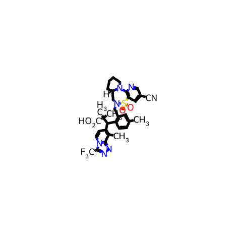 Cc1ccc(C(c2ccn3c(C(F)(F)F)nnc3c2C)C(C)(C)C(=O)O)c(CN2C[C@@H]3CCCCN3c3ncc(C#N)cc3S2(=O)=O)c1